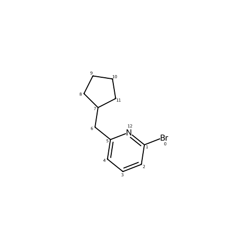 Brc1cccc(CC2CCCC2)n1